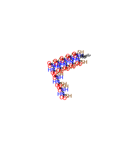 O=C([O-])[C@H](CS)NCCN[C@@H](CS)C(=O)[O-].O=C([O-])[C@H](CS)NCCN[C@@H](CS)C(=O)[O-].O=C([O-])[C@H](CS)NCCN[C@@H](CS)C(=O)[O-].O=C([O-])[C@H](CS)NCCN[C@@H](CS)C(=O)[O-].O=C([O-])[C@H](CS)NCCN[C@@H](CS)C(=O)[O-].O=C([O-])[C@H](CS)NCCN[C@@H](CS)C(=O)[O-].O=C([O-])[C@H](CS)NCCN[C@@H](CS)C(=O)[O-].[Re+7].[Re+7]